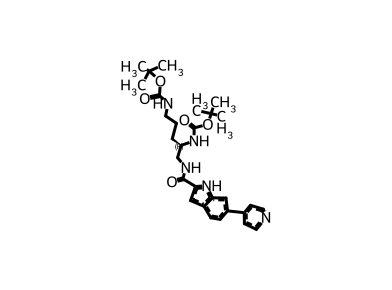 CC(C)(C)OC(=O)NCCC[C@H](CNC(=O)c1cc2ccc(-c3ccncc3)cc2[nH]1)NC(=O)OC(C)(C)C